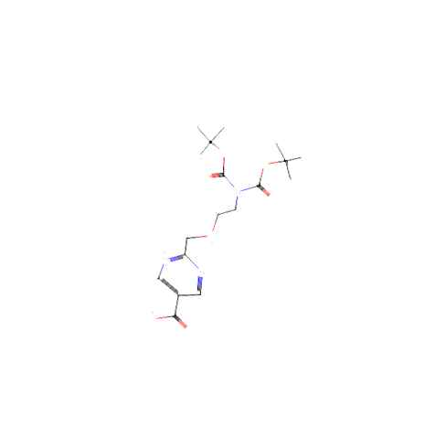 CC(C)(C)OC(=O)N(CCOCc1ncc(C(=O)O)cn1)C(=O)OC(C)(C)C